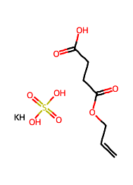 C=CCOC(=O)CCC(=O)O.O=S(=O)(O)O.[KH]